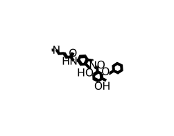 Cc1c(O)cc(O)c(C(=O)N2Cc3ccc(NC(=O)/C=C/CN(C)C)cc3C2)c1OCC1CCCCC1